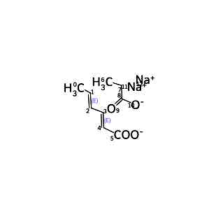 C/C=C/C=C/C(=O)[O-].CCC(=O)[O-].[Na+].[Na+]